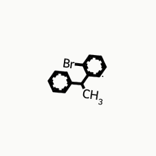 CC(c1ccccc1)c1[c]cccc1Br